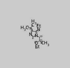 CC/N=C1\C(=C(C)C)N=CN1C[C@@H](C)OCC